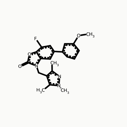 COc1cccc(-c2cc(F)c3oc(=O)n(Cc4c(C)nn(C)c4C)c3c2)c1